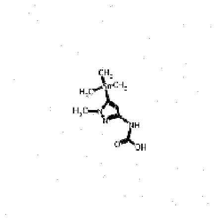 Cn1nc(NC(=O)O)c[c]1[Sn]([CH3])([CH3])[CH3]